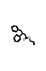 C=CCOC(=O)CC(Cc1ccccc1)c1ccccc1